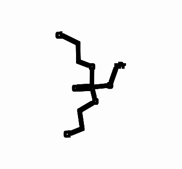 CCCOP(=O)(OCCCl)OCCCl